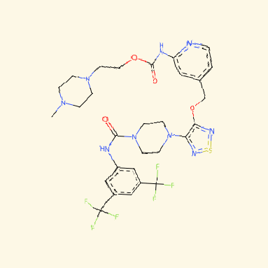 CN1CCN(CCOC(=O)Nc2cc(COc3nsnc3N3CCN(C(=O)Nc4cc(C(F)(F)F)cc(C(F)(F)F)c4)CC3)ccn2)CC1